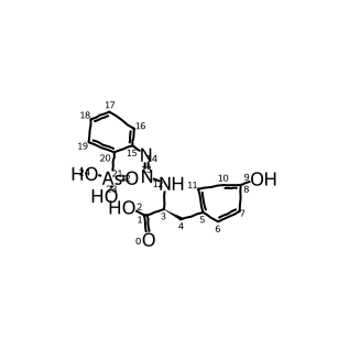 O=C(O)[C@H](Cc1ccc(O)cc1)NN=Nc1ccccc1[As](=O)(O)O